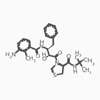 Cc1c(N)cccc1C(=O)N[C@@H](Cc1ccccc1)[C@H](O)C(=O)N1CSCC1C(=O)NC(C)(C)C